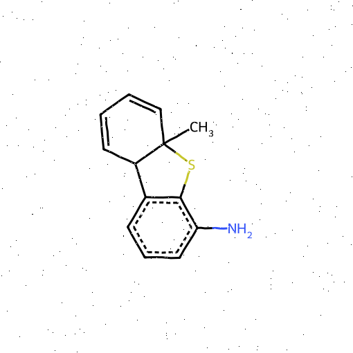 CC12C=CC=CC1c1cccc(N)c1S2